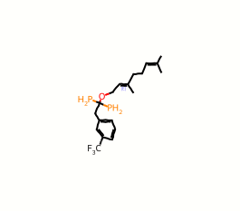 CC(C)=CCC/C(C)=C/COC(P)(P)Cc1cccc(C(F)(F)F)c1